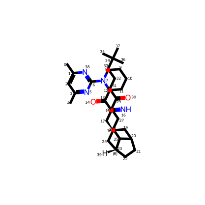 Cc1cc(C)nc(N2CCCCC2C(=O)C(=N)C[C@H]2CC3CC[C@H](C2)C3CCCC(=O)CCCC(C)(C)C)n1